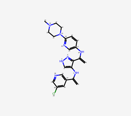 C=C(Nc1c[nH]nc1C(=C)Nc1ccc(N2CCN(C)CC2)nc1)c1cncc(Cl)c1